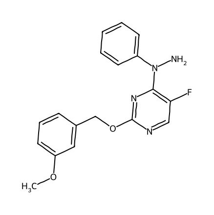 COc1cccc(COc2ncc(F)c(N(N)c3ccccc3)n2)c1